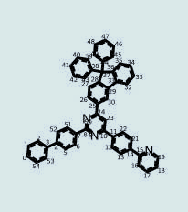 c1ccc(-c2ccc(-c3nc(-c4ccc(-c5ccccn5)cc4)cc(-c4ccc5c(c4)-c4ccccc4C5(c4ccccc4)c4ccccc4)n3)cc2)cc1